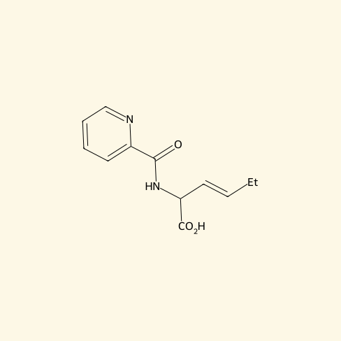 CCC=CC(NC(=O)c1ccccn1)C(=O)O